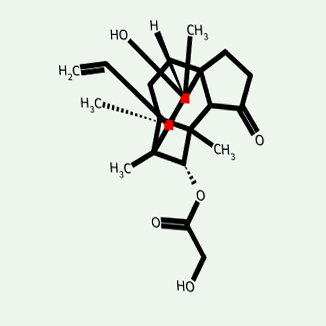 C=C[C@]1(C)CC2(C)C3CCC4(CCC(=O)C4C3(C)[C@@H]2OC(=O)CO)[C@@H](C)C1O